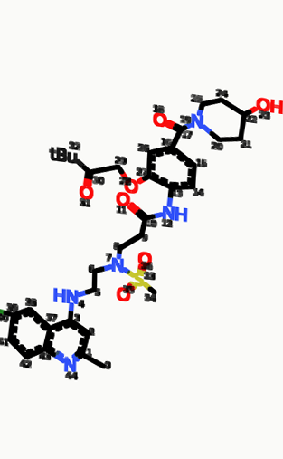 Cc1cc(NCCN(CCC(=O)Nc2ccc(C(=O)N3CCC(O)CC3)cc2OCC(=O)C(C)(C)C)S(C)(=O)=O)c2cc(Cl)ccc2n1